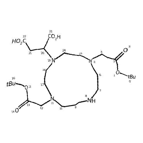 CC(C)(C)OC(=O)CN1CCNCCN(CC(=O)OC(C)(C)C)CCN(C(CC(=O)O)C(=O)O)CC1